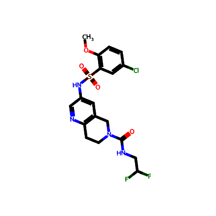 COc1ccc(Cl)cc1S(=O)(=O)Nc1cnc2c(c1)CN(C(=O)NCC(F)F)CC2